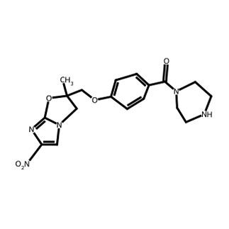 CC1(COc2ccc(C(=O)N3CCNCC3)cc2)Cn2cc([N+](=O)[O-])nc2O1